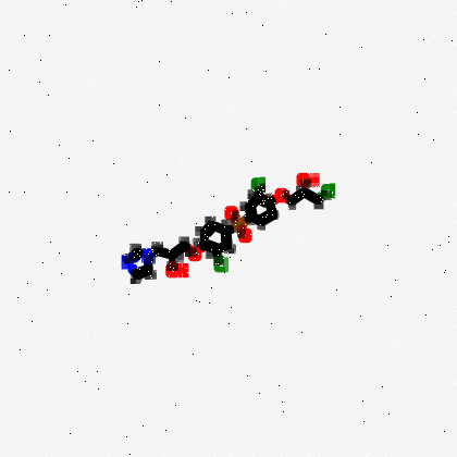 O=S(=O)(c1ccc(OC[C@H](O)CCl)c(Cl)c1)c1ccc(OC[C@@H](O)Cn2ccnc2)c(Cl)c1